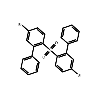 O=S(=O)(c1ccc(Br)cc1-c1ccccc1)c1ccc(Br)cc1-c1ccccc1